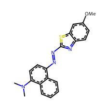 COc1ccc2nc(N=Nc3ccc(N(C)C)c4ccccc34)sc2c1